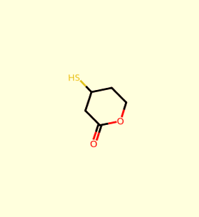 O=C1CC(S)CCO1